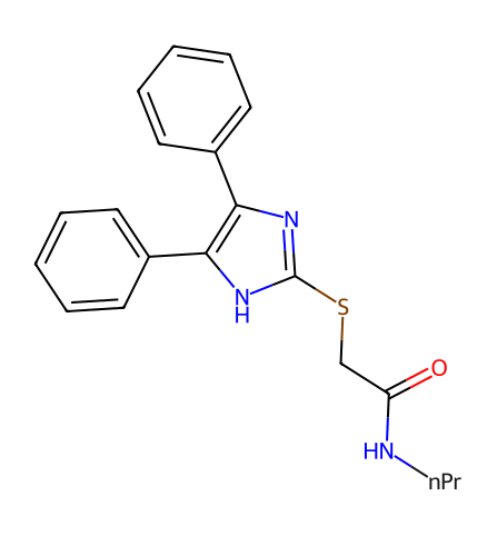 CCCNC(=O)CSc1nc(-c2ccccc2)c(-c2ccccc2)[nH]1